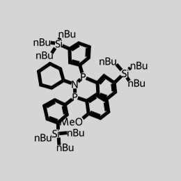 CCCC[Si](CCCC)(CCCC)c1cccc(P(c2cccc([Si](CCCC)(CCCC)CCCC)c2)N(C2CCCCC2)P(c2cccc([Si](CCCC)(CCCC)CCCC)c2)c2ccccc2OC)c1